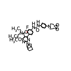 CCN1CC(C)(C)Oc2nc(N3CC4CCC(C3)O4)nc(-c3ccc(NC(=O)Nc4ccc(N5CCS(=O)(=O)CC5)cc4)c(F)c3)c2C1=O